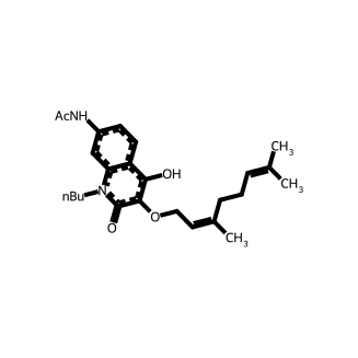 CCCCn1c(=O)c(OCC=C(C)CCC=C(C)C)c(O)c2ccc(NC(C)=O)cc21